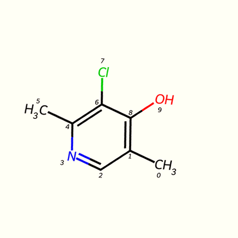 Cc1cnc(C)c(Cl)c1O